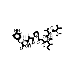 CCC(C)C(C(CC(=O)N1CCC[C@H]1C(OC)C(I)C(=O)N[C@@H](Cc1ccc(N)cc1)C(=O)O)OC)N(C)C(=O)[C@@H](NC(=O)C(C(C)C)N(C)C)C(C)C